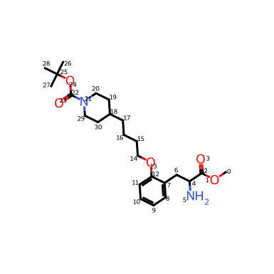 COC(=O)C(N)Cc1ccccc1OCCCCC1CCN(C(=O)OC(C)(C)C)CC1